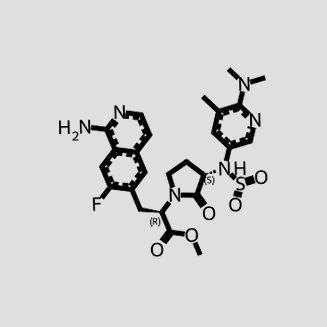 COC(=O)[C@@H](Cc1cc2ccnc(N)c2cc1F)N1CC[C@H](N(c2cnc(N(C)C)c(C)c2)[SH](=O)=O)C1=O